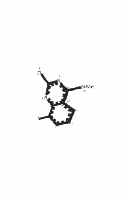 CNc1nc(Cl)nc2c(C)cccc12